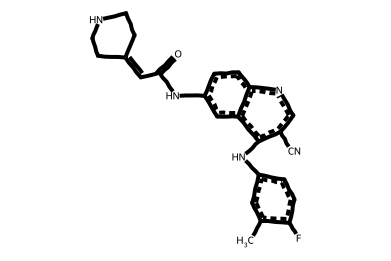 Cc1cc(Nc2c(C#N)cnc3ccc(NC(=O)C=C4CCNCC4)cc23)ccc1F